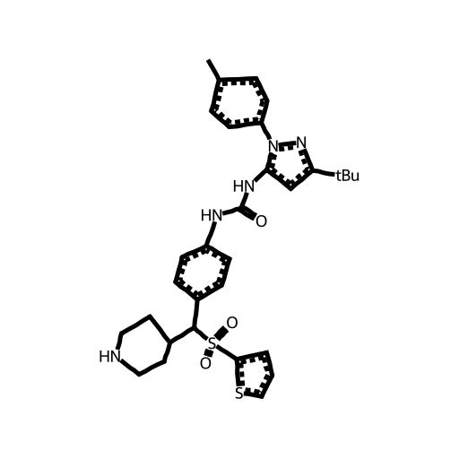 Cc1ccc(-n2nc(C(C)(C)C)cc2NC(=O)Nc2ccc(C(C3CCNCC3)S(=O)(=O)c3cccs3)cc2)cc1